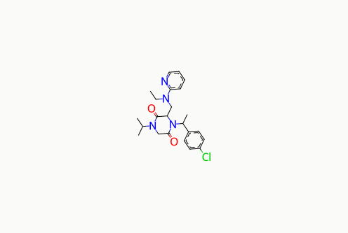 CCN(CC1C(=O)N(C(C)C)CC(=O)N1C(C)c1ccc(Cl)cc1)c1ccccn1